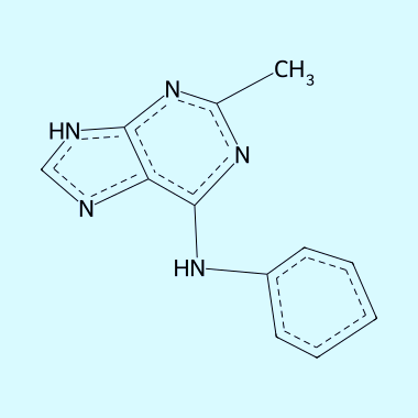 Cc1nc(Nc2ccccc2)c2nc[nH]c2n1